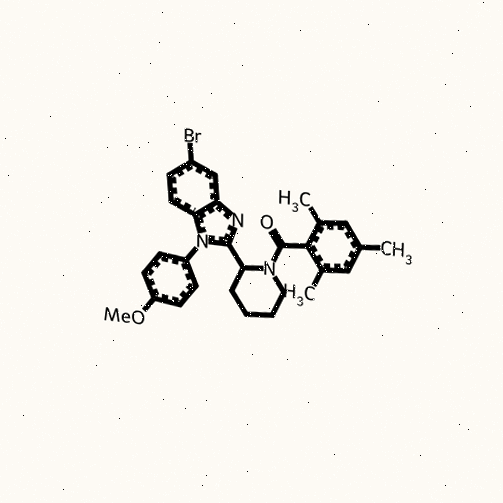 COc1ccc(-n2c(C3CCCCN3C(=O)c3c(C)cc(C)cc3C)nc3cc(Br)ccc32)cc1